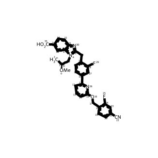 CO[C@@H](C)Cn1c(Cc2ccc(-c3cccc(OCc4ccc(C#N)cc4F)n3)cc2F)nc2ccc(C(=O)O)cc21